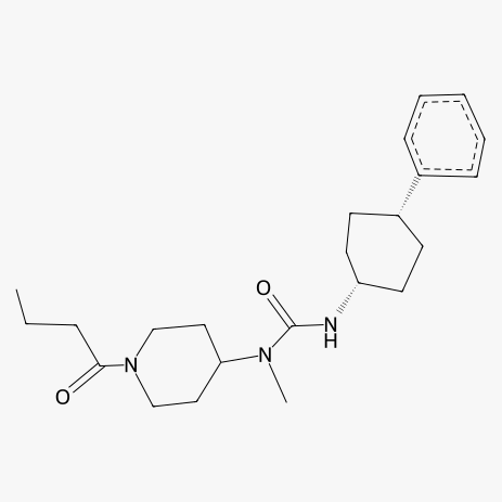 CCCC(=O)N1CCC(N(C)C(=O)N[C@H]2CC[C@@H](c3ccccc3)CC2)CC1